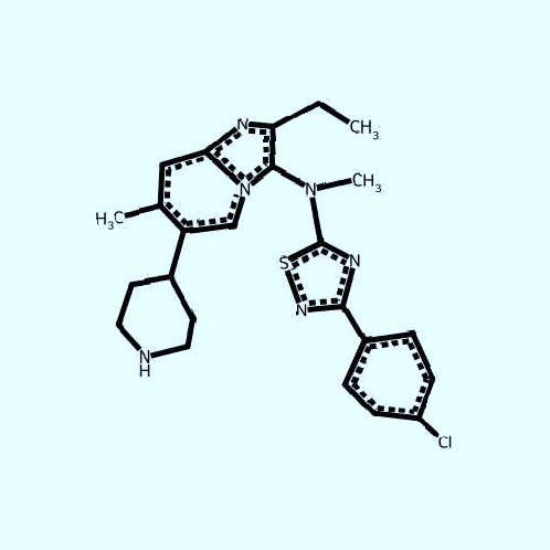 CCc1nc2cc(C)c(C3CCNCC3)cn2c1N(C)c1nc(-c2ccc(Cl)cc2)ns1